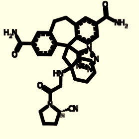 N#C[C@@H]1CCCN1C(=O)CNC1(CC2(c3nnn[nH]3)c3ccc(C(N)=O)cc3CCc3cc(C(N)=O)ccc32)CCCCC1